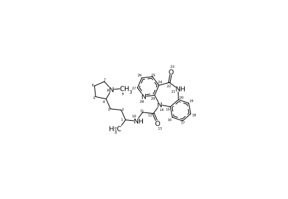 CC(CCC1CCCN1C)NCC(=O)N1c2ccccc2NC(=O)c2cccnc21